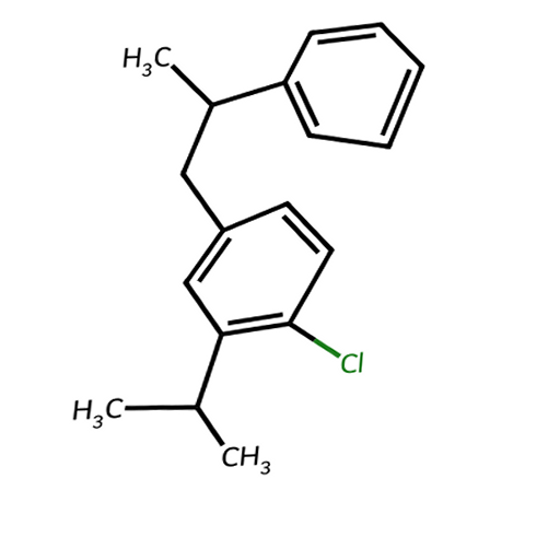 CC(C)c1cc(CC(C)c2ccccc2)ccc1Cl